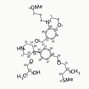 COCCCN1CCOc2ccc(CO[C@H]3CNC[C@@H](OCC(C)O)[C@@H]3c3ccc(COCC(C)CSC)cc3)cc21